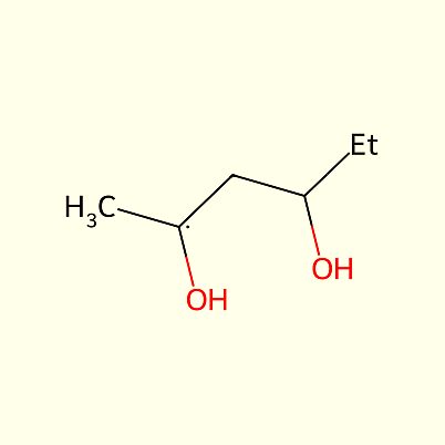 CCC(O)C[C](C)O